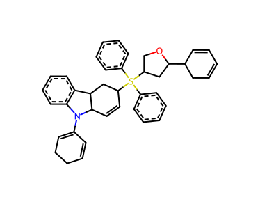 C1=CCC(C2CC(S(c3ccccc3)(c3ccccc3)C3C=CC4C(C3)c3ccccc3N4C3=CCCC=C3)CO2)C=C1